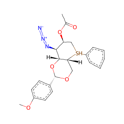 COc1ccc([C@H]2OC[C@@H]3[C@H](O2)[C@@H](N=[N+]=[N-])[C@@H](OC(C)=O)C[SH]3c2ccccc2)cc1